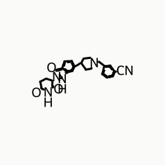 N#Cc1cccc(CN2CCC(c3ccc4c(=O)n(C5CCC(=O)NC5=O)[nH]c4c3)CC2)c1